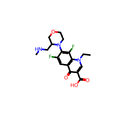 CCn1cc(C(=O)O)c(=O)c2cc(F)c(N3CCOCC3CNC)c(F)c21